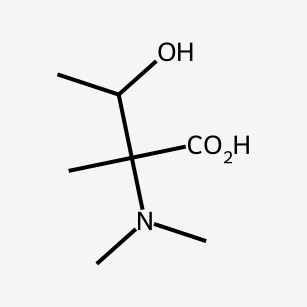 CC(O)C(C)(C(=O)O)N(C)C